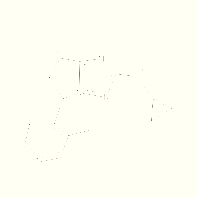 Fc1ccccc1C1CC(F)c2nc(SC3CC3)nn21